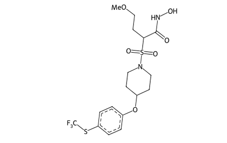 COCCC(C(=O)NO)S(=O)(=O)N1CCC(Oc2ccc(SC(F)(F)F)cc2)CC1